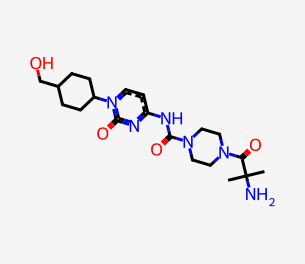 CC(C)(N)C(=O)N1CCN(C(=O)Nc2ccn(C3CCC(CO)CC3)c(=O)n2)CC1